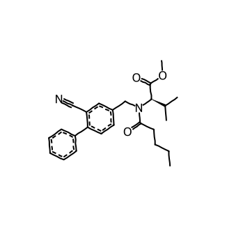 CCCCC(=O)N(Cc1ccc(-c2ccccc2)c(C#N)c1)[C@@H](C(=O)OC)C(C)C